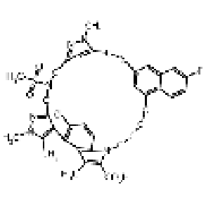 Cc1c(C(=O)O)n2c3ccc(Cl)c(c13)-c1c(nn(C)c1C)CN(S(C)(=O)=O)Cc1cc(n(C)n1)CSc1cc(c3ccc(F)cc3c1)OCCC2